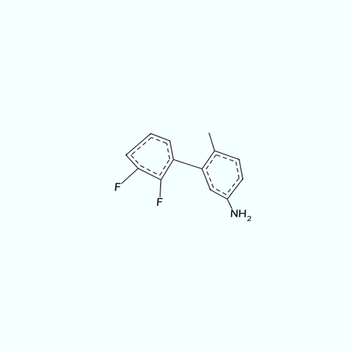 Cc1ccc(N)cc1-c1cccc(F)c1F